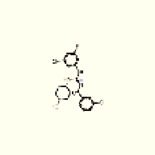 O=C(/N=C(/Nc1cc(F)cc(Cl)c1)N[C@H]1CC[C@H](O)CC1)c1cccc(Cl)c1